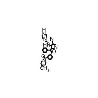 CN1CCN(C(=O)c2cccc(-c3oc4ncc(C#N)c(NCCN5CCNCC5)c4c3-c3ccccc3)c2)CC1